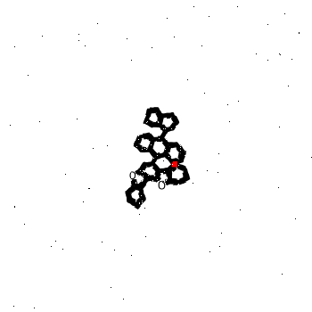 c1ccc2c(-c3c4ccccc4c(-c4cc5oc6ccccc6c5c5oc6ccccc6c45)c4ccccc34)cccc2c1